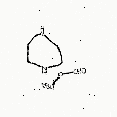 C1CNCCN1.CC(C)(C)OC=O